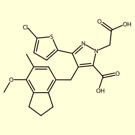 COc1c(C)cc(Cc2c(-c3ccc(Cl)s3)nn(CC(=O)O)c2C(=O)O)c2c1CCC2